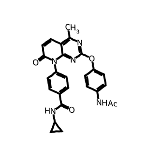 CC(=O)Nc1ccc(Oc2nc(C)c3ccc(=O)n(-c4ccc(C(=O)NC5CC5)cc4)c3n2)cc1